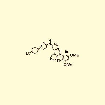 CCN1CCN(c2ccc(Nc3cc(-c4cncnc4Nc4c(Cl)c(OC)cc(OC)c4Br)ncn3)nc2)CC1